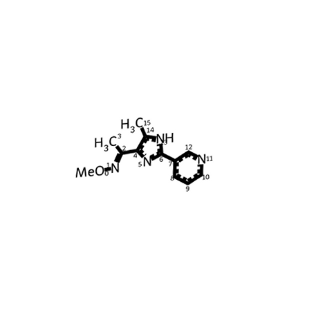 CON=C(C)c1nc(-c2cccnc2)[nH]c1C